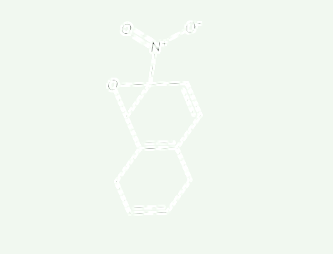 O=[N+]([O-])C12C=CC3=C(CC=CC3)C1O2